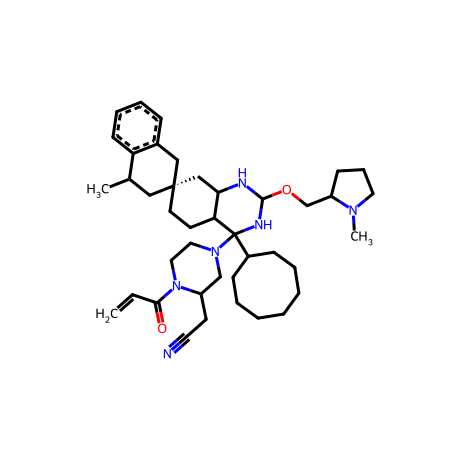 C=CC(=O)N1CCN(C2(C3CCCCCCC3)NC(OCC3CCCN3C)NC3C[C@@]4(CCC32)Cc2ccccc2C(C)C4)CC1CC#N